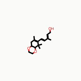 CC(C=CC1=C(C)CC2OCCOC2C1(C)C)=CCO